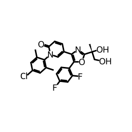 Cc1cc(Cl)cc(C)c1-n1cc(-c2nc([C@](C)(O)CO)oc2-c2ccc(F)cc2F)ccc1=O